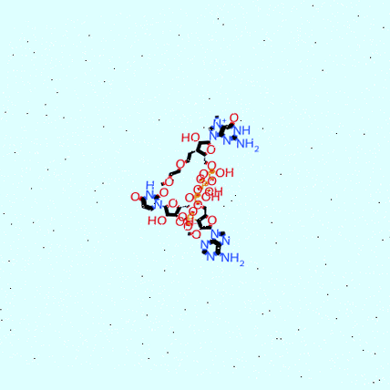 COCCOCC[C@H]1[C@@H](O)[C@H](n2c[n+](C)c3c(=O)[nH]c(N)nc32)O[C@@H]1COP(=O)(O)OP(=O)(O)OP(=O)(O)OC[C@H]1O[C@@H](n2cnc3c(N)ncnc32)[C@H](OC)[C@@H]1P(=O)([O-])OC[C@H]1O[C@@H](n2ccc(=O)[nH]c2=O)[C@H](O)[C@@H]1O